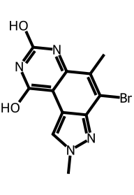 Cc1c(Br)c2nn(C)cc2c2c(O)nc(O)nc12